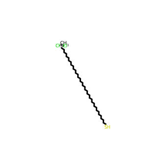 C[Si](Cl)(Cl)CCCCCCCCCCCCCCCCCCCCCCCCCCCCCCCCCCCCCCS